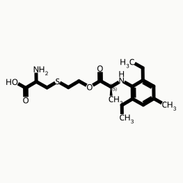 CCc1cc(C)cc(CC)c1N[C@@H](C)C(=O)OCCSCC(N)C(=O)O